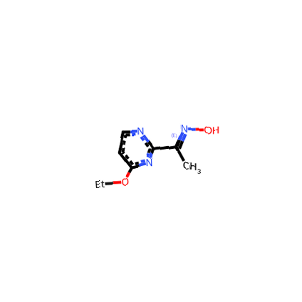 CCOc1ccnc(/C(C)=N/O)n1